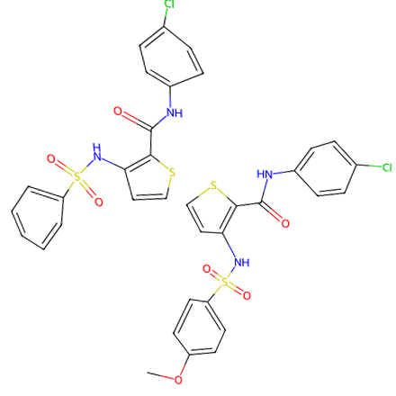 COc1ccc(S(=O)(=O)Nc2ccsc2C(=O)Nc2ccc(Cl)cc2)cc1.O=C(Nc1ccc(Cl)cc1)c1sccc1NS(=O)(=O)c1ccccc1